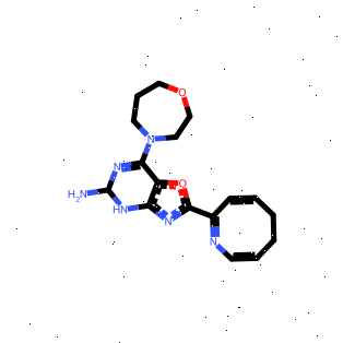 NC1N=C(N2CCCOCC2)c2oc(C3=N/C=C\CC/C=C\3)nc2N1